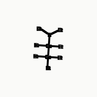 CC[N](CC)[Ge]([CH2]C)([CH2]C)[Ge]([CH2]C)([CH2]C)[CH2]C